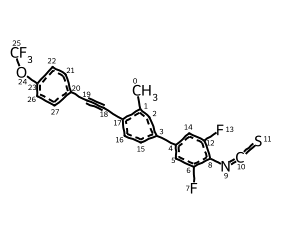 Cc1cc(-c2cc(F)c(N=C=S)c(F)c2)ccc1C#Cc1ccc(OC(F)(F)F)cc1